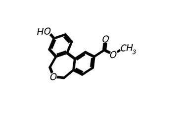 COC(=O)c1ccc2c(c1)-c1ccc(O)cc1COC2